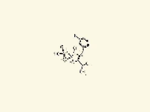 CC(C)C1=C(Sc2cccc(F)c2)N(C)C(C)(NS(C)(=O)=O)N1